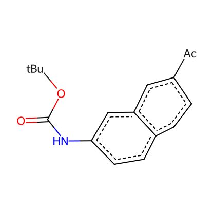 CC(=O)c1ccc2ccc(NC(=O)OC(C)(C)C)cc2c1